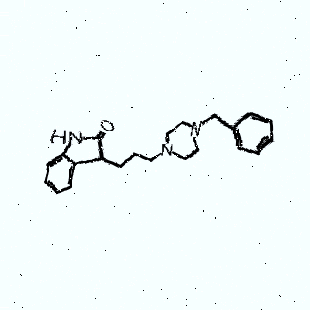 O=C1Nc2ccccc2C1CCCN1CCN(Cc2ccccc2)CC1